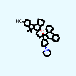 CC1(C)c2cc(C#N)ccc2-c2c1c1c(c3ccccc23)OC(c2ccc(N3CCCCC3)cc2)(c2cc3ccccc3c3ccccc23)C=C1